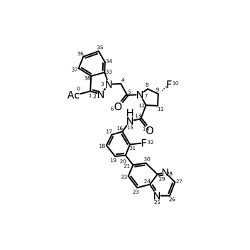 CC(=O)c1nn(CC(=O)N2C[C@H](F)CC2C(=O)Nc2cccc(-c3ccc4nccnc4c3)c2F)c2ccccc12